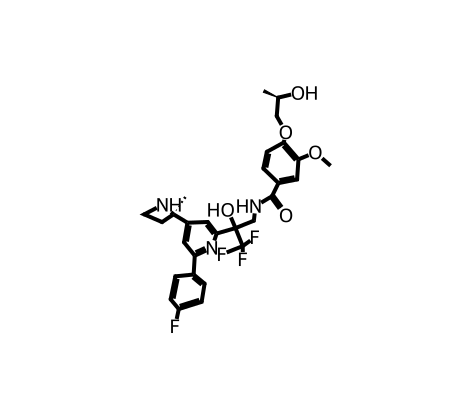 COc1cc(C(=O)NCC(O)(c2cc([C@@]3(C)CCN3)cc(-c3ccc(F)cc3)n2)C(F)(F)F)ccc1OC[C@@H](C)O